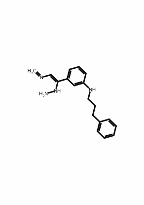 C=N/C=C(\NN)c1cccc(NCCCc2ccccc2)c1